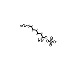 CCCCCCCCCCCCCCOOS(=O)(=O)[O-].[Na+]